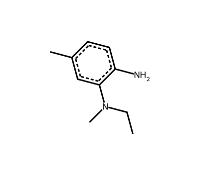 CCN(C)c1cc(C)ccc1N